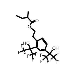 CCC(C)C(=O)OCCc1ccc(C(O)(C(F)(F)F)C(F)(F)F)cc1C(O)(C(F)(F)F)C(F)(F)F